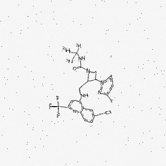 [2H]C([2H])([2H])NC(=O)N1CC(n2ccc(F)n2)C1CNc1cc(C(F)(F)F)nc2ccc(Cl)cc12